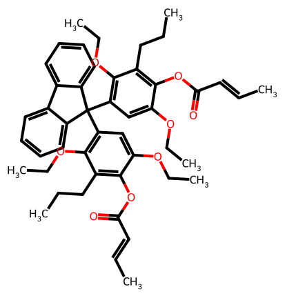 CC=CC(=O)Oc1c(OCC)cc(C2(c3cc(OCC)c(OC(=O)C=CC)c(CCC)c3OCC)c3ccccc3-c3ccccc32)c(OCC)c1CCC